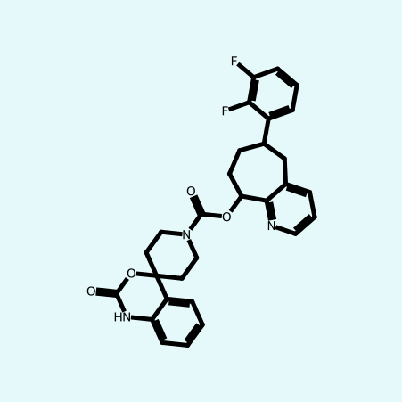 O=C1Nc2ccccc2C2(CCN(C(=O)OC3CCC(c4cccc(F)c4F)Cc4cccnc43)CC2)O1